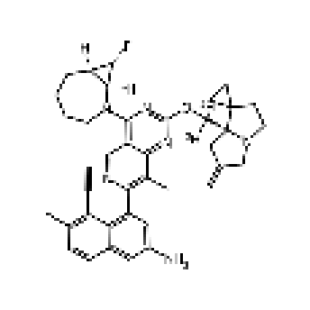 [2H]C([2H])(Oc1nc(N2CCCC[C@H]3[C@H](F)[C@H]32)c2cnc(-c3cc(N)cc4ccc(F)c(C#C)c34)c(C)c2n1)[C@]12CC(=C)CN1CCC21CC1